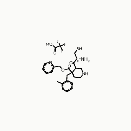 Cc1ccccc1CC1(C(=O)OCc2ccccn2)CCNCC1C(=O)[C@@H](N)CS.O=C(O)C(F)(F)F